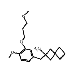 COCCCOc1cc(CC2(N)CC3(CCC3)C2)ccc1OC